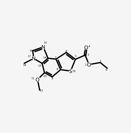 CCOC(=O)c1cc2c(cc(OC)c3c2ncn3C)s1